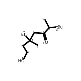 CCC(C)(CCO)CC(=O)C(C)C(C)(C)C